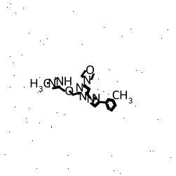 Cc1cccc(-c2ccn(-c3cc(N4CCOCC4)nc(COCC4=CN(C)CN4)n3)n2)c1